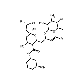 CC(C)/C=C/[C@@H](C[C@@H]1O[C@](O)(C[C@@H](O)C(C)C)C[C@H](O)C1C(=O)N[C@@H]1CCC[C@H](O)C1)OC1OC(C)C(O)C(N)C1O